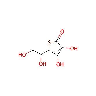 O=C1SC(C(O)CO)C(O)=C1O